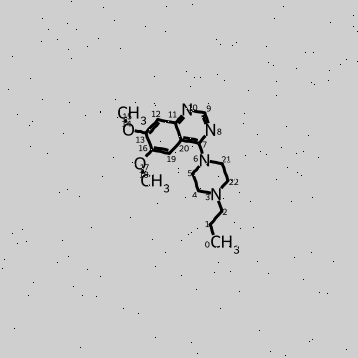 CCCN1CCN(c2ncnc3cc(OC)c(OC)cc23)CC1